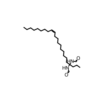 CCCCCCCC/C=C\CCCCCCCCCC(CCC)(NC=O)NC=O